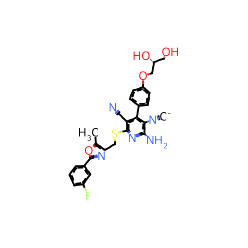 [C-]#[N+]c1c(N)nc(SCc2nc(-c3cccc(F)c3)oc2C)c(C#N)c1-c1ccc(OC[C@H](O)CO)cc1